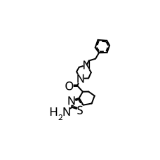 Nc1nc2c(s1)CCCC2C(=O)N1CCN(CCc2ccccc2)CC1